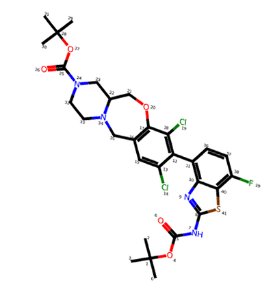 CC(C)(C)OC(=O)Nc1nc2c(-c3c(Cl)cc4c(c3Cl)OCC3CN(C(=O)OC(C)(C)C)CCN3C4)ccc(F)c2s1